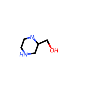 OCC1CNCC[N]1